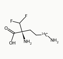 N[14CH2]CC[C@](N)(C(=O)O)C(F)F